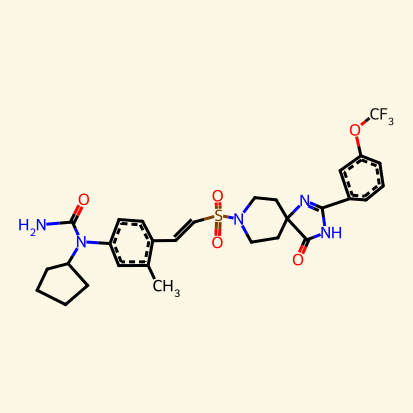 Cc1cc(N(C(N)=O)C2CCCC2)ccc1C=CS(=O)(=O)N1CCC2(CC1)N=C(c1cccc(OC(F)(F)F)c1)NC2=O